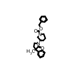 C[C@]1(c2ccccc2)CCN([C@H]2CCCN(C(=O)OCc3ccccc3)C2)C1=O